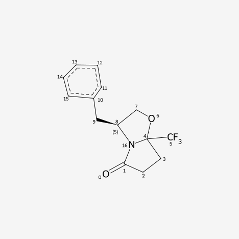 O=C1CCC2(C(F)(F)F)OC[C@H](Cc3ccccc3)N12